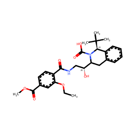 CCOc1cc(C(=O)OC)ccc1C(=O)NC[C@@H](O)C1Cc2ccccc2[C@H](C(C)(C)C)N1C(=O)O